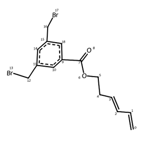 C=CC=CCCOC(=O)c1cc(CBr)cc(CBr)c1